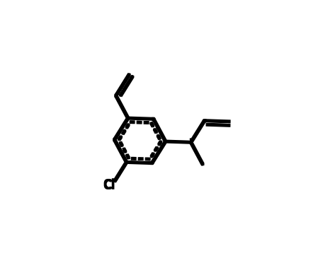 C=C[C](C)c1cc(Cl)cc(C=C)c1